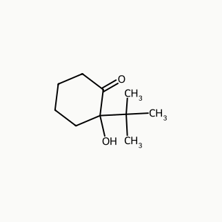 CC(C)(C)C1(O)CCCCC1=O